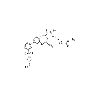 CCCN(CCCCNC(=O)OC(C)(C)C)C(=O)C1=Cc2ccc(-c3cccc(S(=O)(=O)N4CC(CO)C4)c3)cc2N=C(N)C1